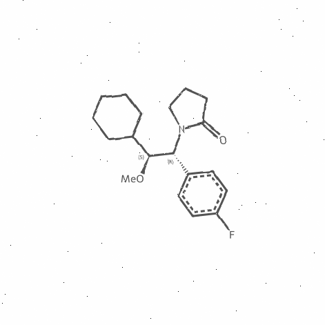 CO[C@@H](C1CCCCC1)[C@@H](c1ccc(F)cc1)N1CCCC1=O